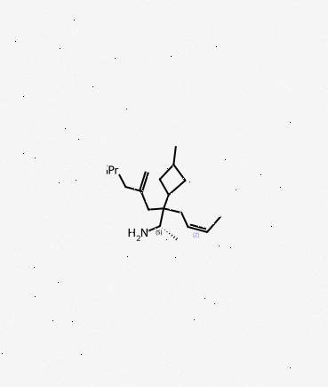 C=C(CC(C)C)CC(C/C=C\C)(C1CC(C)C1)[C@H](C)N